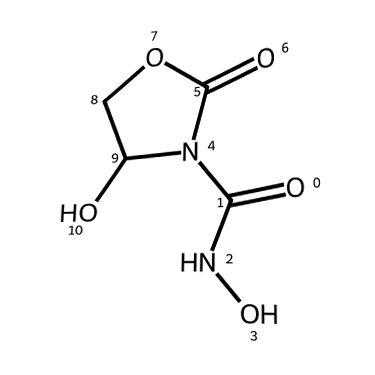 O=C(NO)N1C(=O)OCC1O